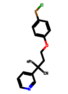 CCCC(C#N)(CCOc1ccc(SCl)cc1)c1cccnc1